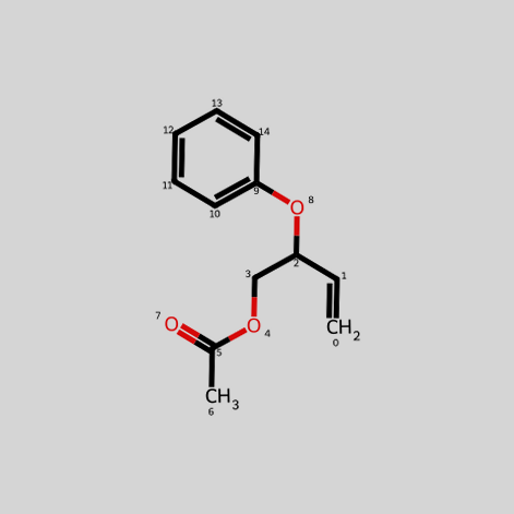 C=CC(COC(C)=O)Oc1ccccc1